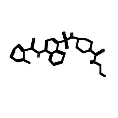 CCCNC(=O)N1CCC(NS(=O)(=O)c2ccc(NC(=O)c3ccccc3C)c3ccccc23)CC1